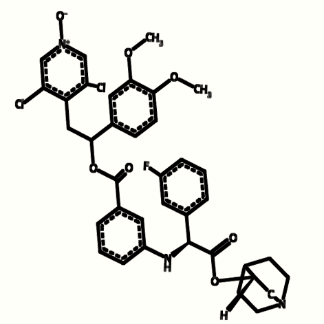 COc1ccc(C(Cc2c(Cl)c[n+]([O-])cc2Cl)OC(=O)c2cccc(N[C@H](C(=O)O[C@H]3CN4CCC3CC4)c3cccc(F)c3)c2)cc1OC